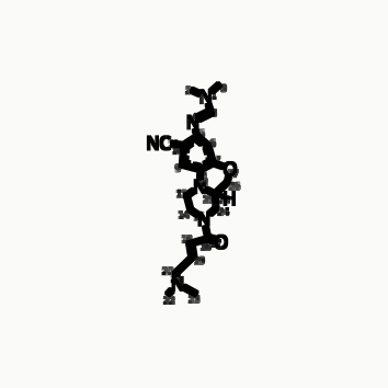 CN(C)/C=N/c1cc2c(cc1C#N)N1CCN(C(=O)/C=C/CN(C)C)C[C@H]1CO2